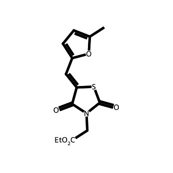 CCOC(=O)CN1C(=O)S/C(=C\c2ccc(C)o2)C1=O